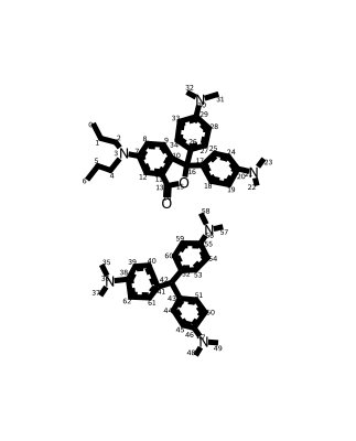 CCCN(CCC)c1ccc2c(c1)C(=O)OC2(c1ccc(N(C)C)cc1)c1ccc(N(C)C)cc1.CN(C)c1ccc(C(c2ccc(N(C)C)cc2)c2ccc(N(C)C)cc2)cc1